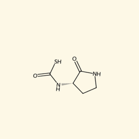 O=C(S)N[C@H]1CCNC1=O